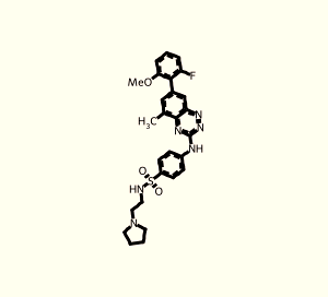 COc1cccc(F)c1-c1cc(C)c2nc(Nc3ccc(S(=O)(=O)NCCN4CCCC4)cc3)nnc2c1